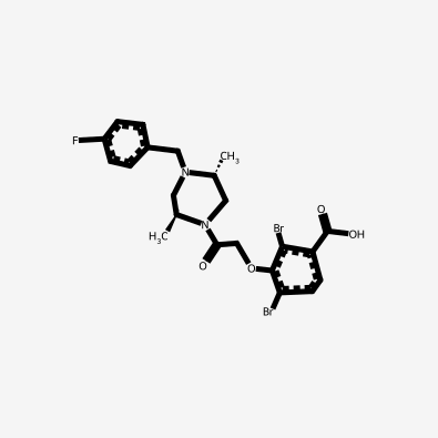 C[C@@H]1CN(C(=O)COc2c(Br)ccc(C(=O)O)c2Br)[C@@H](C)CN1Cc1ccc(F)cc1